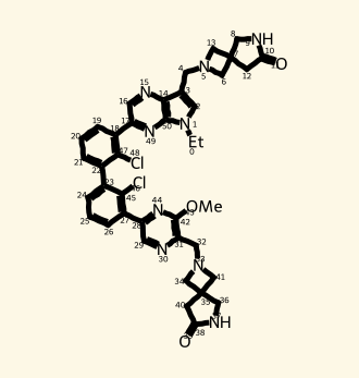 CCn1cc(CN2CC3(CNC(=O)C3)C2)c2ncc(-c3cccc(-c4cccc(-c5cnc(CN6CC7(CNC(=O)C7)C6)c(OC)n5)c4Cl)c3Cl)nc21